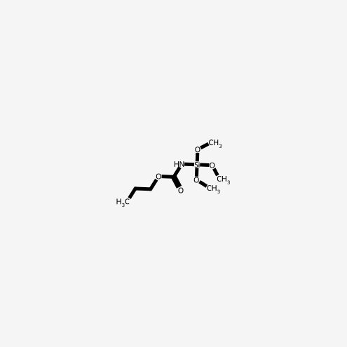 CCCOC(=O)N[Si](OC)(OC)OC